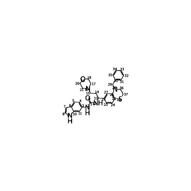 O=C(Nc1ccc2cc[nH]c2c1)NC(CCN1CCOCC1)c1ccc2c(c1)N(Cc1ccccc1)CCS2